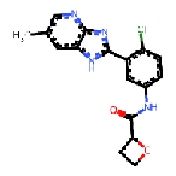 Cc1cnc2nc(-c3cc(NC(=O)C4CCO4)ccc3Cl)[nH]c2c1